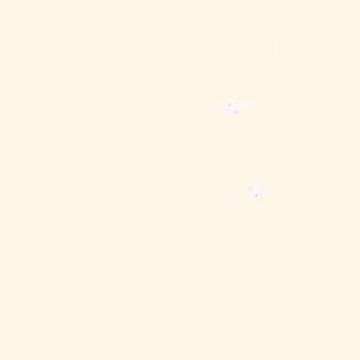 O=C1CCC(NSCc2ccc(Cl)cc2)C(=O)N1